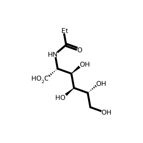 CCC(=O)N[C@@H](C(=O)O)[C@@H](O)[C@H](O)[C@H](O)CO